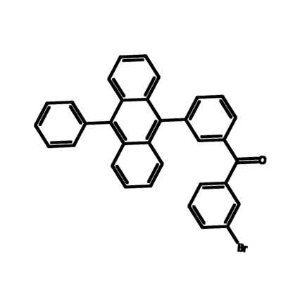 O=C(c1cccc(Br)c1)c1cccc(-c2c3ccccc3c(-c3ccccc3)c3ccccc23)c1